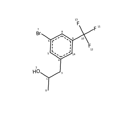 CC(O)Cc1cc(Br)cc(C(F)(F)F)c1